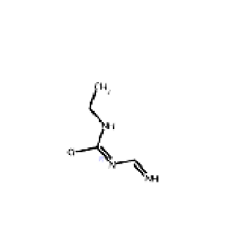 CCN/C(Cl)=N\C=N